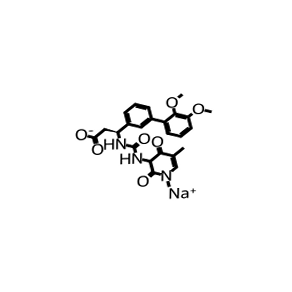 COc1cccc(-c2cccc([C@H](CC(=O)[O-])NC(=O)NC3C(=O)C(C)=CN(C)C3=O)c2)c1OC.[Na+]